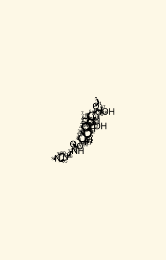 CCO[C@@H]([C@H]1C[C@@H](C)[C@H]2[C@H](O1)[C@H](O)[C@@]1(C)[C@@H]3CC[C@H]4C(C)(C)[C@@H](OC(=O)NCCN5CCN(C)CC5)CC[C@@]45C[C@@]35CC[C@]21C)C(C)(C)O